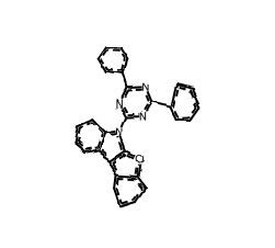 c1ccc(-c2nc(-c3ccccc3)nc(-n3c4ccccc4c4c5ccccc5oc43)n2)cc1